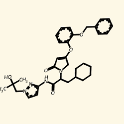 CC(C)(O)Cn1ccc(NC(=O)C(CC2CCCCC2)N2CC(Oc3ccccc3OCc3ccccc3)=CC2=O)n1